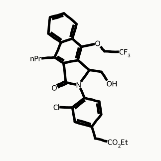 CCCc1c2c(c(OCC(F)(F)F)c3ccccc13)C(CO)N(c1ccc(CC(=O)OCC)cc1Cl)C2=O